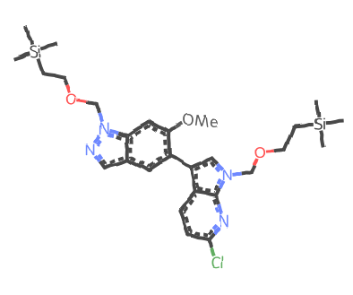 COc1cc2c(cnn2COCC[Si](C)(C)C)cc1-c1cn(COCC[Si](C)(C)C)c2nc(Cl)ccc12